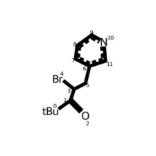 CC(C)(C)C(=O)C(Br)Cc1cccnc1